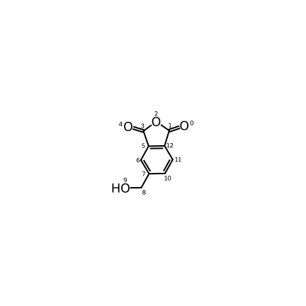 O=C1OC(=O)c2cc(CO)ccc21